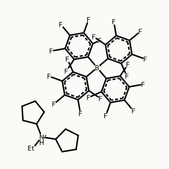 CC[NH+](C1CCCC1)C1CCCC1.Fc1c(F)c(F)c([B-](c2c(F)c(F)c(F)c(F)c2F)(c2c(F)c(F)c(F)c(F)c2F)c2c(F)c(F)c(F)c(F)c2F)c(F)c1F